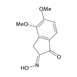 COc1ccc2c(c1OC)CC(=NO)C2=O